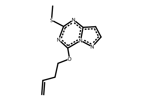 C=CCCOc1nc(SC)nc2ccnn12